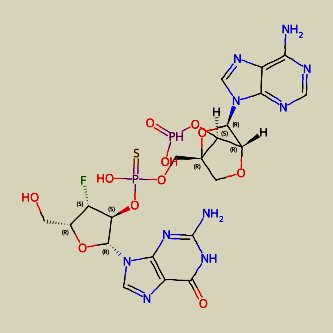 Nc1nc2c(ncn2[C@@H]2O[C@H](CO)[C@H](F)[C@H]2OP(O)(=S)OC[C@@]23CO[C@@H]([C@H](n4cnc5c(N)ncnc54)O2)[C@@H]3O[PH](=O)O)c(=O)[nH]1